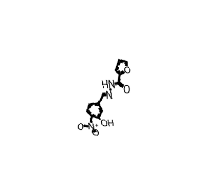 O=C(NN=Cc1ccc([N+](=O)[O-])c(O)c1)c1ccco1